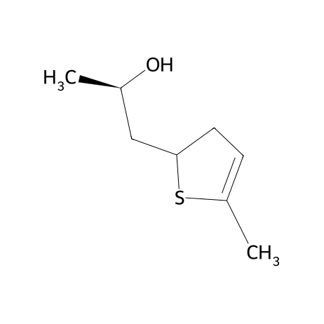 CC1=CCC(C[C@@H](C)O)S1